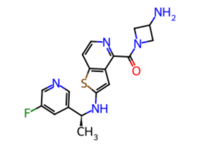 C[C@H](Nc1cc2c(C(=O)N3CC(N)C3)nccc2s1)c1cncc(F)c1